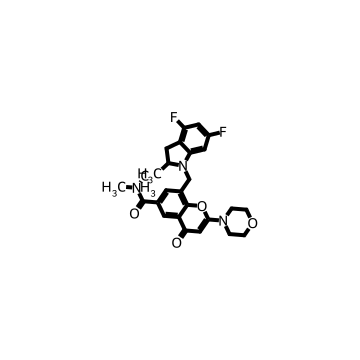 CC1Cc2c(F)cc(F)cc2N1Cc1cc(C(=O)N(C)C)cc2c(=O)cc(N3CCOCC3)oc12